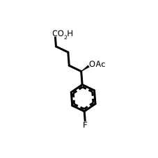 CC(=O)O[C@H](CCCC(=O)O)c1ccc(F)cc1